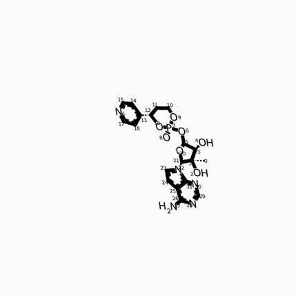 C[C@@]1(O)[C@H](O)C(OP2(=O)OCC[C@@H](c3ccncc3)O2)O[C@H]1n1ccc2c(N)ncnc21